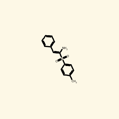 Cc1ccc(S(=O)(=O)C(N)=Cc2ccccc2)cc1